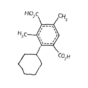 Cc1cc(C(=O)O)c(C2CCCCC2)c(C)c1C(=O)O